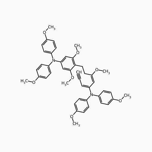 C#C/C=C(\C=C(/CCc1c(OC)cc(N(c2ccc(OC)cc2)c2ccc(OC)cc2)cc1OC)OC)N(c1ccc(OC)cc1)c1ccc(OC)cc1